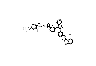 CN(CCCOc1ccc(N)cc1F)c1nccc(-c2c(-c3cccc(NC(=O)c4c(F)cccc4F)c3)nn3ccccc23)n1